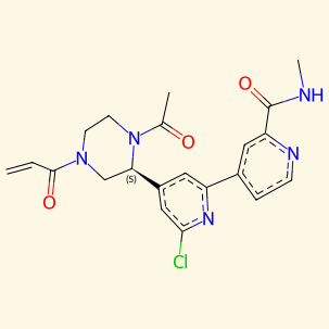 C=CC(=O)N1CCN(C(C)=O)[C@@H](c2cc(Cl)nc(-c3ccnc(C(=O)NC)c3)c2)C1